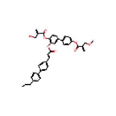 C=C(COC)C(=O)Oc1ccc(-c2ccc(OC(=O)C(=C)CO)c(OC(=O)/C=C/c3ccc(-c4ccc(CCC)cc4)cc3)c2)cc1